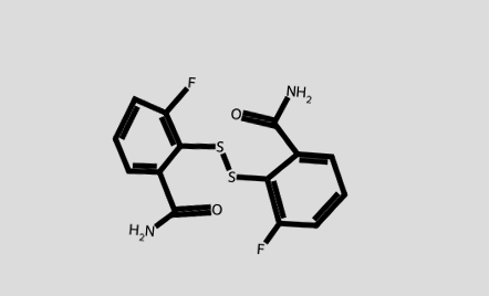 NC(=O)c1cccc(F)c1SSc1c(F)cccc1C(N)=O